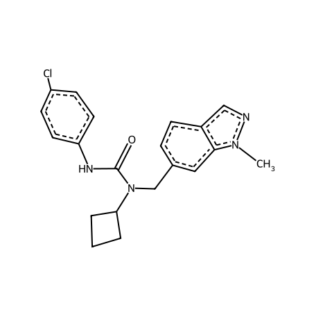 Cn1ncc2ccc(CN(C(=O)Nc3ccc(Cl)cc3)C3CCC3)cc21